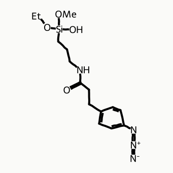 CCO[Si](O)(CCCNC(=O)CCc1ccc(N=[N+]=[N-])cc1)OC